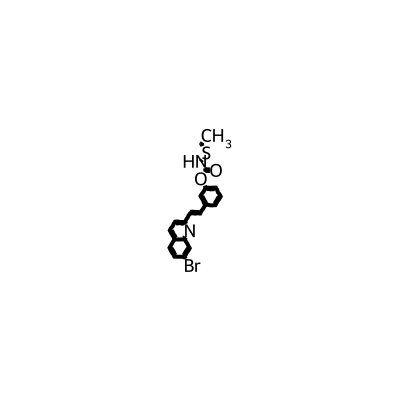 CCSNC(=O)Oc1cccc(C=Cc2ccc3ccc(Br)cc3n2)c1